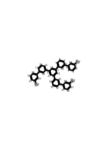 Brc1cccc(-c2cccc(-c3cc(-c4cccc(-c5cccc(Br)c5)c4)cc(-c4cccc(-c5cccc(Br)c5)c4)c3)c2)c1